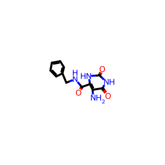 Nc1c(C(=O)NCc2ccccc2)[nH]c(=O)[nH]c1=O